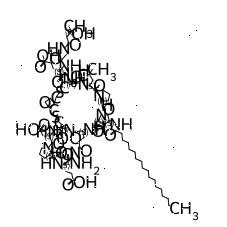 CCCCCCCCCCCCCCCCCC(=O)N[C@H]1C[C@H]2C(=O)N[C@@H](CCC(N)=O)C(=O)N[C@H](C(=O)N[C@@H](CC(=O)O)C(=O)N3CCC[C@H]3C(=O)N[C@@H](CCC(=O)O)C(N)=O)CSCC3(COC3)CSC[C@H](NC(=O)[C@H](CCC(=O)O)NC(=O)CNC(=O)C[C@@H](C)O)C(=O)N[C@@H](CC(C)C)C(=O)N3CCC[C@@H]3C(=O)N2C1